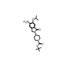 CC(C)Oc1cc2c(cc1N)CN(C1CCN(C(=O)OC(C)(C)C)CC1)C2=O